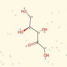 O=C(CO)[C@@H](O)[C@@H](O)CO